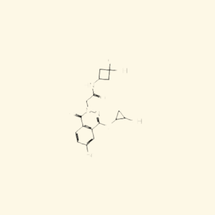 CC1CC1Oc1nn(CC(=O)NC2CC(C)(O)C2)c(=O)c2ccc(Br)cc12